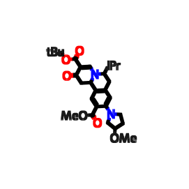 COC(=O)c1cc2c(cc1N1CCC(OC)C1)CC(C(C)C)N1C=C(C(=O)OC(C)(C)C)C(=O)CC21